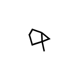 CC12C[CH]CC1C2